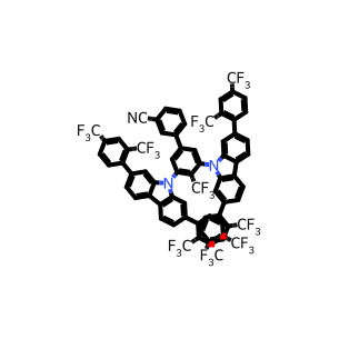 N#Cc1cccc(-c2cc(-n3c4cc(-c5ccc(C(F)(F)F)cc5C(F)(F)F)ccc4c4ccc(-c5ccc(C(F)(F)F)cc5C(F)(F)F)cc43)c(C(F)(F)F)c(-n3c4cc(-c5ccc(C(F)(F)F)cc5C(F)(F)F)ccc4c4ccc(-c5ccc(C(F)(F)F)cc5C(F)(F)F)cc43)c2)c1